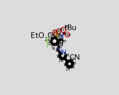 CCOC(=O)C[C@@]12CC(F)(F)[C@@H](C)[C@H](/C=C/c3ccc(-c4ccccc4C#N)cn3)[C@@H]1[C@@H](C)N(C(=O)OC(C)(C)C)S2(=O)=O